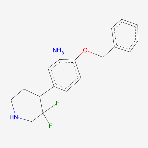 FC1(F)CNCCC1c1ccc(OCc2ccccc2)cc1.N